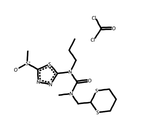 CCCN(C(=O)N(C)CC1SCCCS1)c1nnc([S+](C)[O-])s1.O=C(Cl)Cl